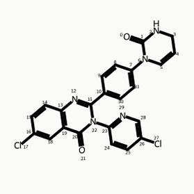 O=C1NCC=CN1c1ccc(-c2nc3ccc(Cl)cc3c(=O)n2-c2ccc(Cl)cn2)cc1